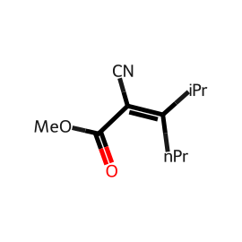 CCC/C(=C(/C#N)C(=O)OC)C(C)C